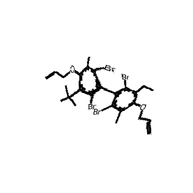 C=CCOc1c(C)c(Br)c(-c2c(Br)c(C)c(OCC=C)c(C(C)(C)C)c2Br)c(Br)c1CC